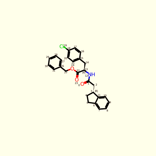 O=C(C[C@H]1CCc2ccccc21)N[C@H](Cc1ccc(Cl)cc1)C(=O)OCc1ccccc1